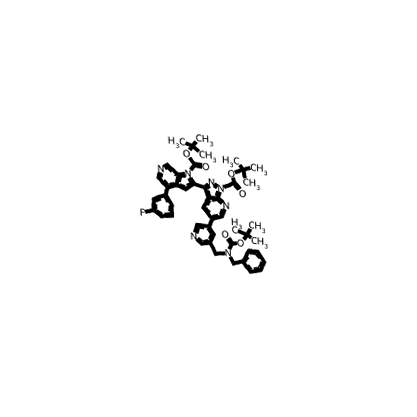 CC(C)(C)OC(=O)N(Cc1ccccc1)Cc1cncc(-c2cnc3c(c2)c(-c2cc4c(-c5cccc(F)c5)cncc4n2C(=O)OC(C)(C)C)nn3C(=O)OC(C)(C)C)c1